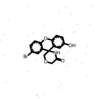 O=C1COCC2(N1)c1cc(O)ccc1Oc1ccc(Br)cc12